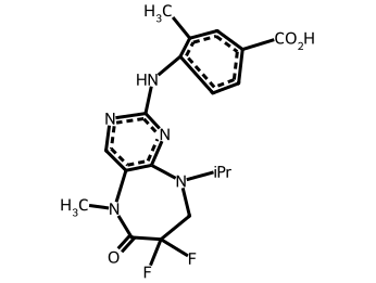 Cc1cc(C(=O)O)ccc1Nc1ncc2c(n1)N(C(C)C)CC(F)(F)C(=O)N2C